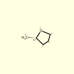 C[C@H]1[CH]CCO1